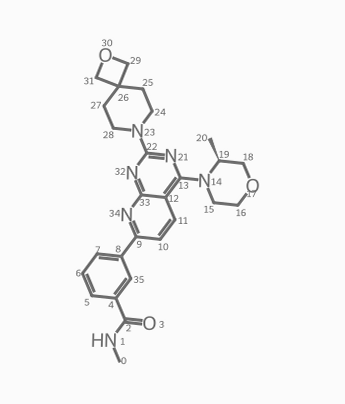 CNC(=O)c1cccc(-c2ccc3c(N4CCOC[C@@H]4C)nc(N4CCC5(CC4)COC5)nc3n2)c1